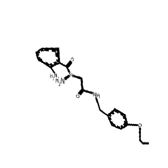 CCOc1ccc(CNC(=O)CN(N)C(=O)c2ccccc2N)cc1